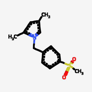 Cc1cc(C)n(Cc2ccc(S(C)(=O)=O)cc2)c1